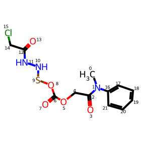 CN(C(=O)COC(=O)OSNNC(=O)CCl)c1ccccc1